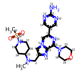 CN(Cc1cn2cc(-c3cnc(N)nc3)nc(N3CCOCC3)c2n1)C1CCN(S(C)(=O)=O)CC1